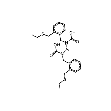 CCSCc1ccccc1CN(SN(Cc1ccccc1CSCC)C(=O)O)C(=O)O